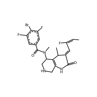 C/C=C(F)\C=C1\C(=O)NC2=C(C1C)C(N(C)C(=O)c1cc(F)c(Br)c(F)c1)CNC2